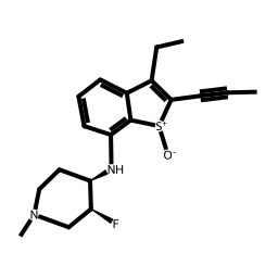 CC#Cc1c(CC)c2cccc(N[C@@H]3CCN(C)C[C@@H]3F)c2[s+]1[O-]